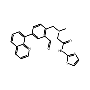 CN(CC(=O)Nc1nccs1)Cc1ccc(-c2cccc3cccnc23)cc1C=O